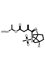 C=C(CC(=O)O[C@H](C)CCCCCC)C(=O)O[C@H]1[C@@H]2CC[C@H]1CN(S(C)(=O)=O)C2